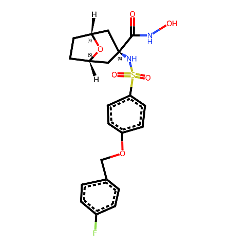 O=C(NO)[C@@]1(NS(=O)(=O)c2ccc(OCc3ccc(F)cc3)cc2)C[C@H]2CC[C@@H](C1)O2